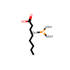 CCCCCCCC(=O)O.CCCCCCCCP(CCCCCCCC)CCCCCCCC